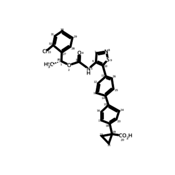 C[C@@H](OC(=O)Nc1cnsc1-c1ccc(-c2ccc(C3(C(=O)O)CC3)cc2)cc1)c1ccccc1Cl